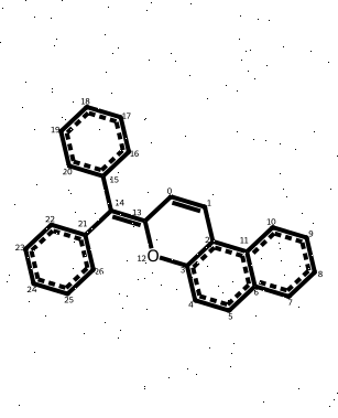 C1=Cc2c(ccc3ccccc23)OC1=C(c1ccccc1)c1ccccc1